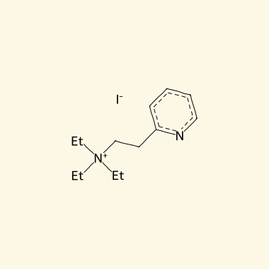 CC[N+](CC)(CC)CCc1ccccn1.[I-]